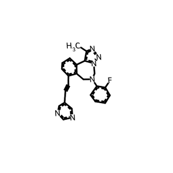 Cc1nnn2c1-c1cccc(C#Cc3cncnc3)c1CN(c1ccccc1F)C2